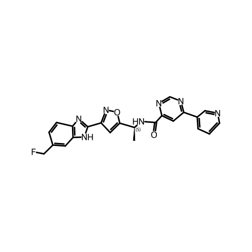 C[C@H](NC(=O)c1cc(-c2cccnc2)ncn1)c1cc(-c2nc3ccc(CF)cc3[nH]2)no1